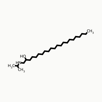 CCCCCCCCCCCCCCCCCCCCC(O)CNC(C)C